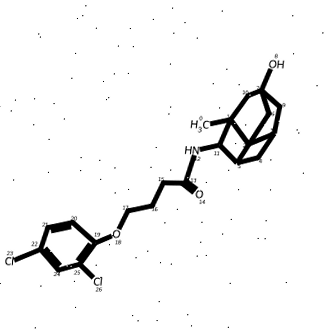 CC12CC3CC(CC(O)(C3)C1)C2NC(=O)CCCOc1ccc(Cl)cc1Cl